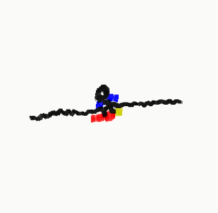 CCCCCCCCCCCCCCCCCCC(C(=O)O)C(CCCCCCCCCCCCCCCCCC)(C(O)=S)c1nc2ccccc2[nH]1